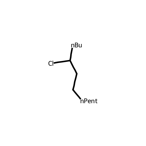 [CH2]CCCCCCC(Cl)CCCC